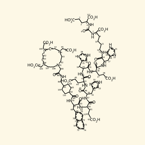 O=C(O)CCC(NC(=O)NC(CCCCNC(=O)C(Cc1c[nH]cn1)NC(=O)C(CCC(=O)O)NC(=O)C(Cc1c[nH]cn1)NC(=O)C(CCC(=O)O)NC(=O)C(Cc1c[nH]cn1)NC(=O)C(CCC(=O)O)NC(=O)C(Cc1ccc2ccccc2c1)NC(=O)C1CCC(CNC(=O)CN2CCN(CC(=O)O)CCN(CC(=O)O)CCN(CC(=O)O)CC2)CC1)C(=O)O)C(=O)O